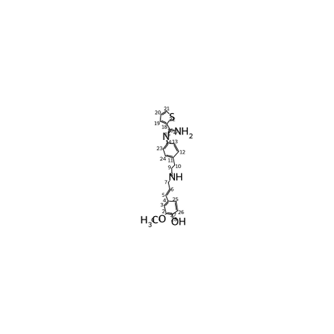 COc1cc(C=CCNCCc2ccc(N=C(N)c3cccs3)cc2)ccc1O